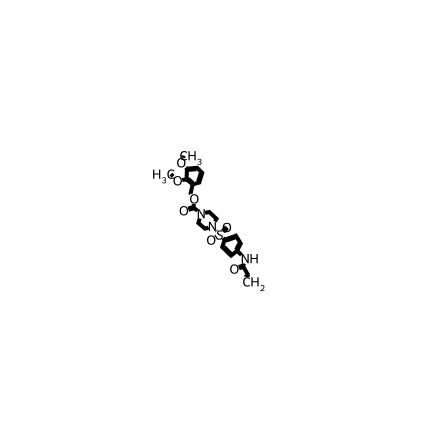 C=CC(=O)Nc1ccc(S(=O)(=O)N2CCN(C(=O)OCc3cccc(OC)c3OC)CC2)cc1